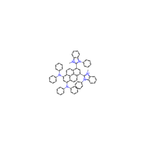 C[n+]1c(-c2cc(-c3n(-c4ccccc4)c4ccccc4[n+]3C)c3ccc4c(N(c5ccccc5)c5ccccc5)cc(N(c5ccccc5)c5ccccc5)c5ccc2c3c54)n(-c2ccccc2)c2ccccc21